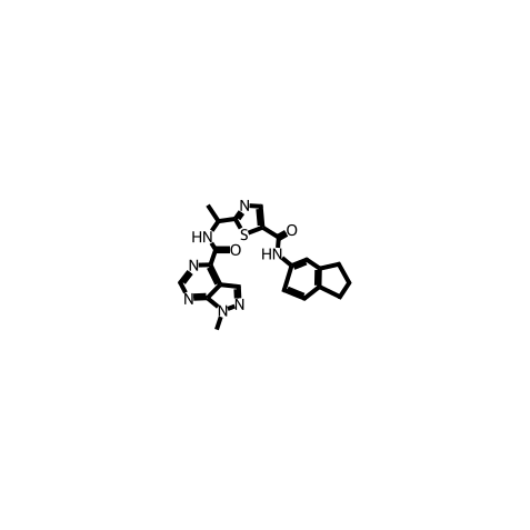 CC(NC(=O)c1ncnc2c1cnn2C)c1ncc(C(=O)Nc2ccc3c(c2)CCC3)s1